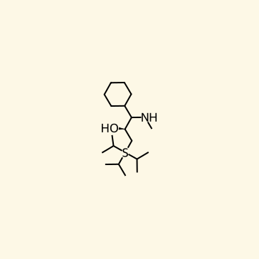 CNC(C1CCCCC1)[C@H](O)CS(C(C)C)(C(C)C)C(C)C